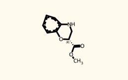 COC(=O)[C@H]1CNc2ccccc2O1